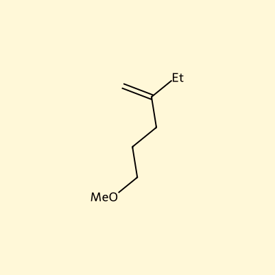 C=C(CC)CCCOC